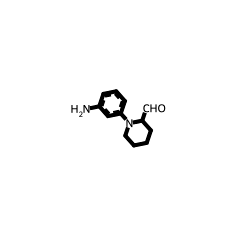 Nc1cccc(N2CCCCC2C=O)c1